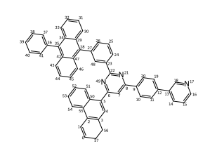 C1=Cc2c(cc(-c3cc(-c4ccc(-c5cccnc5)cc4)nc(-c4cccc(-c5c6ccccc6c(-c6ccccc6)c6ccccc56)c4)n3)c3ccccc23)CC1